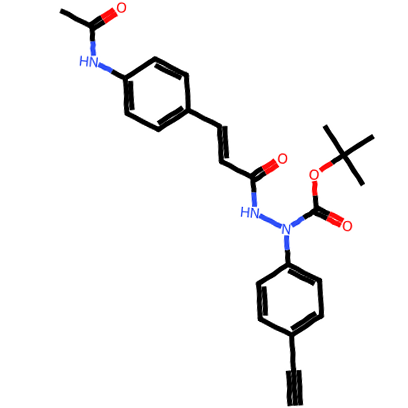 C#Cc1ccc(N(NC(=O)C=Cc2ccc(NC(C)=O)cc2)C(=O)OC(C)(C)C)cc1